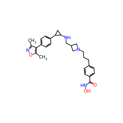 Cc1noc(C)c1-c1ccc(C2CC2NCC2CN(CCCc3ccc(C(=O)NO)cc3)C2)cc1